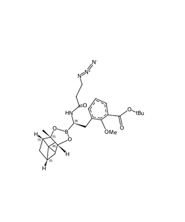 COc1c(C[C@H](NC(=O)CCN=[N+]=[N-])B2O[C@@H]3C[C@@H]4C[C@@H](C4(C)C)[C@]3(C)O2)cccc1C(=O)OC(C)(C)C